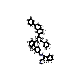 C/C=C\c1oc2ccccc2c1/C=C/c1ccc2c(c1)oc1cccc(-c3nc(-c4ccccc4)nc(-c4ccc5ccc(-c6ccccc6)cc5c4)n3)c12